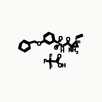 C=C[C@@H]1C[C@]1(N)C(=O)NS(=O)(=O)c1cccc(OCc2ccccc2)c1.O=C(O)C(F)(F)F